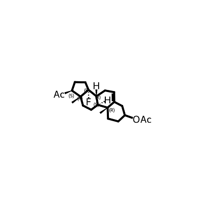 CC(=O)OC1CC[C@@]2(C)C(=CC[C@@H]3[C@@H]2CC[C@]2(C)[C@@H](C(C)=O)CC[C@@]32F)C1